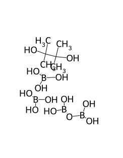 CC(C)(O)C(C)(C)O.OB(O)O.OB(O)O.OB(O)OB(O)O